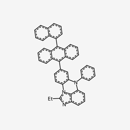 CCc1nc2cccc3c2n1-c1ccc(-c2c4ccccc4c(-c4cccc5ccccc45)c4ccccc24)cc1N3c1ccccc1